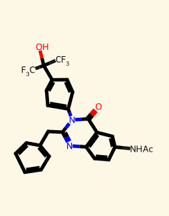 CC(=O)Nc1ccc2nc(Cc3ccccc3)n(-c3ccc(C(O)(C(F)(F)F)C(F)(F)F)cc3)c(=O)c2c1